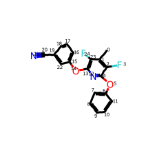 Cc1c(F)c(Oc2ccccc2)nc(Oc2cccc(C#N)c2)c1F